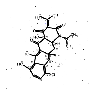 CN(C)[C@@H]1C(=O)/C(=C(/N)O)C(=O)[C@@]2(O)C(=O)C3=C(O)c4c(O)ccc(Cl)c4[C@@H](O)[C@H]3C[C@@H]12